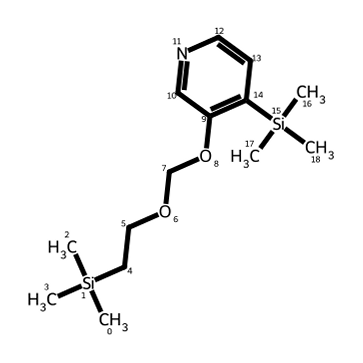 C[Si](C)(C)CCOCOc1cnccc1[Si](C)(C)C